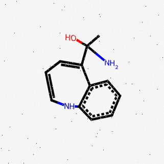 CC(N)(O)C1=CC=CNc2ccccc21